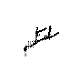 CCCCCCCCC(CCCCCCCC)OC(=O)CCCCCCCN(CCCCCC(=O)OC(CCC)CCCCCCC)CC(O)CCCCNC(=O)c1cc[nH]c1